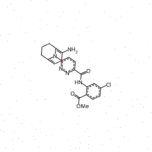 COC(=O)c1ccc(Cl)cc1NC(=O)c1ccc(N2C3=CCC(N)=C2CCC3)nn1